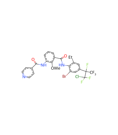 CCc1cc(C(F)(C(F)(F)F)C(F)(F)Cl)cc(Br)c1NC(=O)c1cccc(NC(=O)c2ccncc2)c1OC